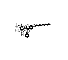 CCCCCCCCCCCOc1ccc2c(OCc3ccccc3)c(O[C@H]3O[C@H](CO)[C@@H](O)[C@H](O)[C@@H]3O)c(=O)oc2c1